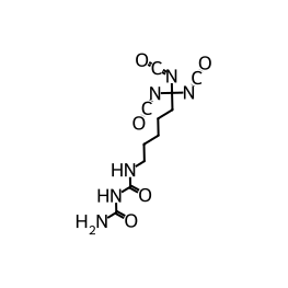 NC(=O)NC(=O)NCCCCCC(N=C=O)(N=C=O)N=C=O